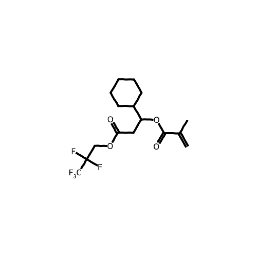 C=C(C)C(=O)OC(CC(=O)OCC(F)(F)C(F)(F)F)C1CCCCC1